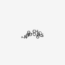 Cc1cc(C(=O)N2CCCCc3sccc32)ccc1COC(=O)N1CCN(CC2CC2)CC1